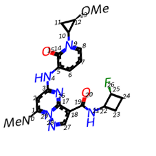 CNc1cc(Nc2cccn(C3C[C@H]3OC)c2=O)nc2c(C(=O)NC3CC[C@@H]3F)cnn12